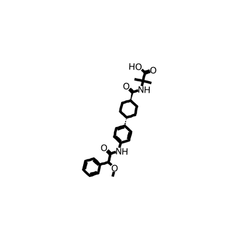 COC(C(=O)Nc1ccc([C@H]2CC[C@H](C(=O)NC(C)(C)C(=O)O)CC2)cc1)c1ccccc1